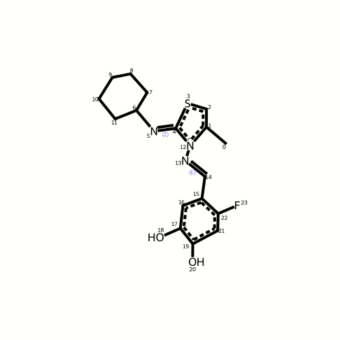 Cc1cs/c(=N\C2CCCCC2)n1/N=C/c1cc(O)c(O)cc1F